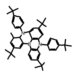 CC1C=C(C(C)(C)C)C=C2B3c4ccc(C(C)(C)C)cc4N(c4ccc(C(C)(C)C)cc4)c4cc(C(C)(C)C)cc(c43)N(c3ccc(C(C)(C)C)cc3)C21